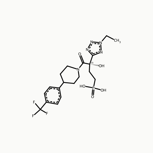 CCn1nnc([C@@](O)(CCP(=O)(O)O)C(=O)N2CCC(c3ccc(C(F)(F)F)cc3)CC2)n1